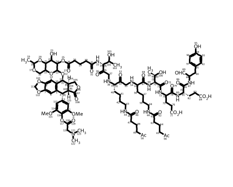 COc1cc([C@@H]2c3cc4c(cc3[C@@H](OC3OC5COC(C)OC5C(O)C3OC(=O)CCCC(=O)N[C@@H](C(=O)CN[C@@H](CCCCNC(=O)CCCC(C)=O)C(=O)CNC(CCCCNC(=O)CCCC(C)=O)C(=O)N[C@H](C(=O)NC(CCC(=O)O)C(=O)N[C@@H](CCC(=O)O)C(=O)NC(C=O)Cc3ccc(O)cc3)[C@@H](C)O)C(C)O)[C@H]3COC(=O)[C@H]23)OCO4)cc(OC)c1OC(=O)CN(C)C